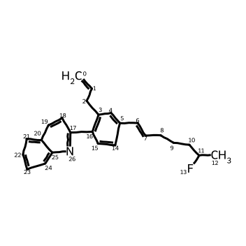 C=CCc1cc(C=CCCCC(C)F)ccc1-c1ccc2ccccc2n1